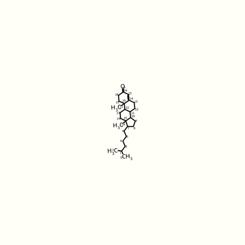 CC(C)CCCCC1CCC2C3CCC4=CC(=O)CCC4(C)C3CCC12C